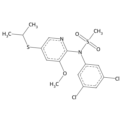 COc1cc(SC(C)C)cnc1N(c1cc(Cl)cc(Cl)c1)S(C)(=O)=O